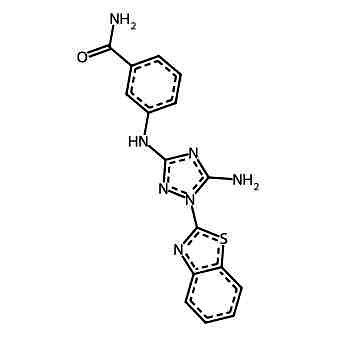 NC(=O)c1cccc(Nc2nc(N)n(-c3nc4ccccc4s3)n2)c1